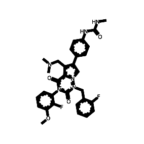 CNC(=O)Nc1ccc(-c2cn3c(c2CN(C)C)c(=O)n(-c2cccc(OC)c2F)c(=O)n3Cc2ccccc2F)cc1